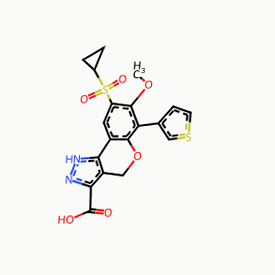 COc1c(S(=O)(=O)C2CC2)cc2c(c1-c1ccsc1)OCc1c(C(=O)O)n[nH]c1-2